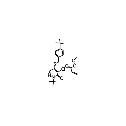 C=CC(=O)OOC.CC(C)(C)c1ccc(CSc2cnn(C(C)(C)C)c(=O)c2Cl)cc1